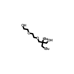 CC(C)(C)CC(CO)(COCCOCCO)C(C)(C)C